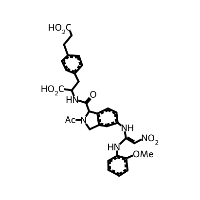 COc1ccccc1NC(=C[N+](=O)[O-])Nc1ccc2c(c1)CN(C(C)=O)C2C(=O)NC(Cc1ccc(CCC(=O)O)cc1)C(=O)O